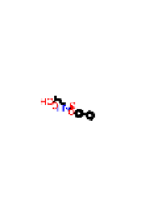 CC(=CCCNC(=O)Oc1ccc(-c2ccccc2)cc1)C(=O)O